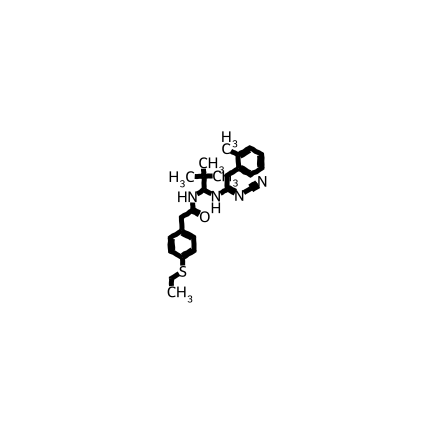 CCSc1ccc(CC(=O)NC(N/C(Cc2ccccc2C)=N/C#N)C(C)(C)C)cc1